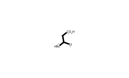 CCCCC(CC)CC(=O)O